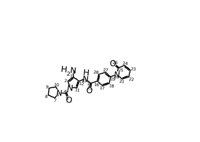 Nc1cn(C(=O)N2CCCC2)cc1NC(=O)c1ccc(-n2ccccc2=O)cc1